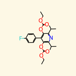 CCOC(=O)Oc1c(C(C)C)nc(C(C)C)c(OC(=O)OCC)c1-c1ccc(F)cc1